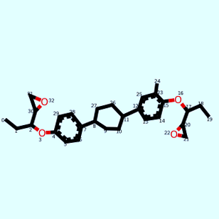 CCC(Oc1ccc(C2CCC(c3ccc(OC(CC)C4CO4)c(C)c3)CC2)cc1)C1CO1